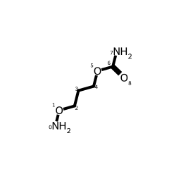 NOCCCOC(N)=O